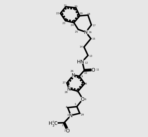 CC(=O)N1CC(Oc2cc(C(=O)NCCCN3CCc4ccccc4C3)ncn2)C1